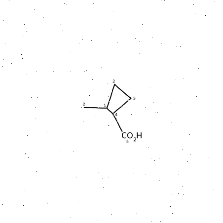 [CH2]C1CCC1C(=O)O